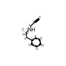 C#CCN[C@@H](C)Cc1ccccc1